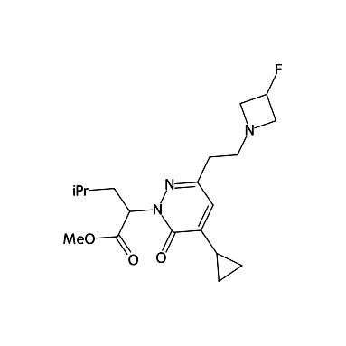 COC(=O)C(CC(C)C)n1nc(CCN2CC(F)C2)cc(C2CC2)c1=O